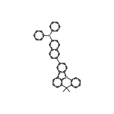 CC1(C)c2ccccc2-n2c3ccc(-c4ccc5cc(N(c6ccccc6)c6ccccc6)ccc5c4)cc3c3cccc1c32